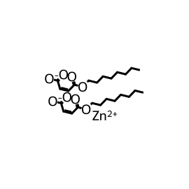 CCCCCCCCOC(=O)/C=C\C(=O)[O-].CCCCCCCCOC(=O)/C=C\C(=O)[O-].[Zn+2]